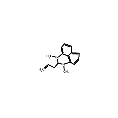 C=CCC1N(C)c2cccc3cccc(c23)N1C